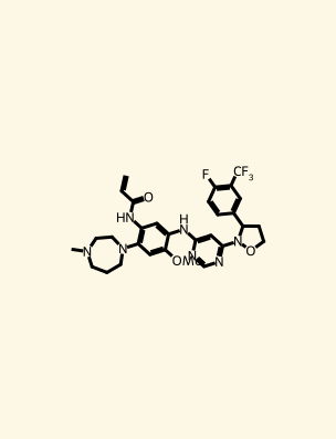 C=CC(=O)Nc1cc(Nc2cc(N3OCCC3c3ccc(F)c(C(F)(F)F)c3)ncn2)c(OC)cc1N1CCCN(C)CC1